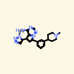 CC(C)n1nncc1-c1cc(-c2cccc(C3CCN(C)CC3)c2)n2ncnc(N)c12